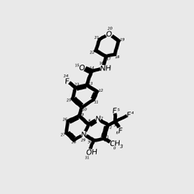 CC1=C(C(F)(F)F)N=C2C(c3ccc(C(=O)NC4CCOCC4)c(F)c3)=CC=CN2C1O